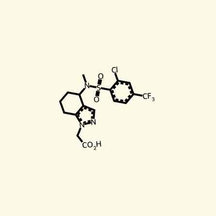 CN(C1CCCc2c1cnn2CC(=O)O)S(=O)(=O)c1ccc(C(F)(F)F)cc1Cl